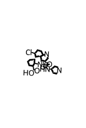 O=C(O)c1ccccc1Nc1c(S(=O)(=O)Nc2ccncc2)cnc2ccc(Cl)cc12